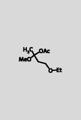 CCOCCC(C)(OC)OC(C)=O